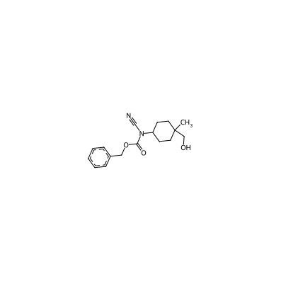 CC1(CO)CCC(N(C#N)C(=O)OCc2ccccc2)CC1